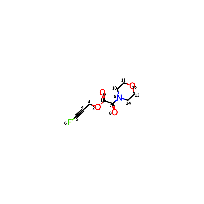 O=C(OCC#CF)C(=O)N1CCOCC1